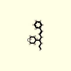 CCC[C](CC=Cc1ccccc1)C1CCOCC1